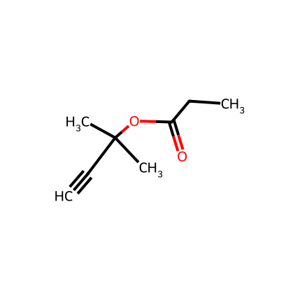 C#CC(C)(C)OC(=O)CC